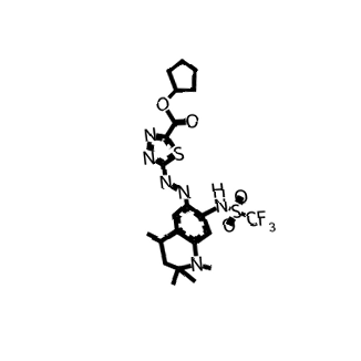 CC1CC(C)(C)N(C)c2cc(NS(=O)(=O)C(F)(F)F)c(N=Nc3nnc(C(=O)OC4CCCC4)s3)cc21